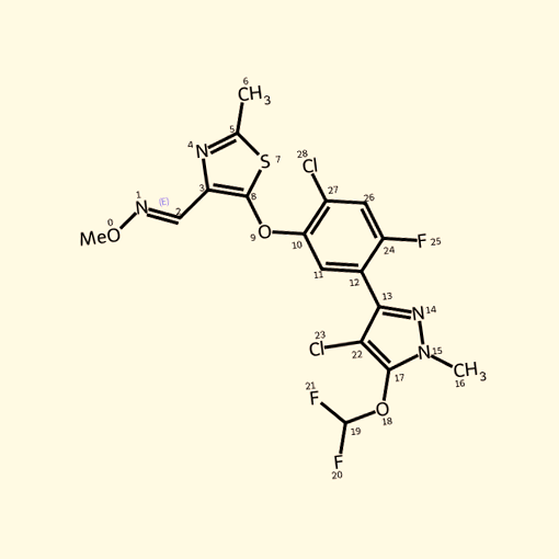 CO/N=C/c1nc(C)sc1Oc1cc(-c2nn(C)c(OC(F)F)c2Cl)c(F)cc1Cl